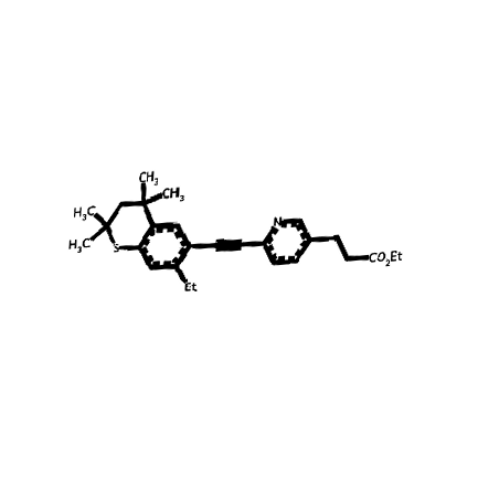 CCOC(=O)CCc1ccc(C#Cc2cc3c(cc2CC)SC(C)(C)CC3(C)C)nc1